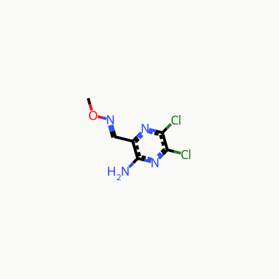 CO/N=C/c1nc(Cl)c(Cl)nc1N